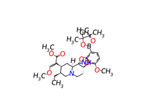 CC[C@@H]1CN2CC[C@@]34OCCO[C@@]3(Nc3c(B5OC(C)(C)C(C)(C)O5)ccc(OC)c34)[C@@H]2C[C@@H]1/C(=C\OC)C(=O)OC